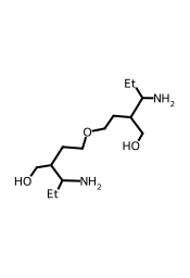 CCC(N)C(CO)CCOCCC(CO)C(N)CC